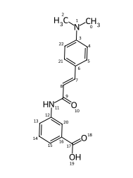 CN(C)c1ccc(C=CC(=O)Nc2cccc(C(=O)O)c2)cc1